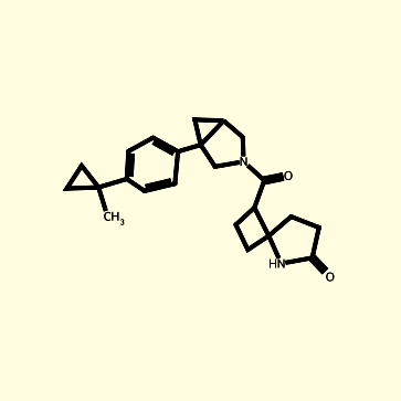 CC1(c2ccc(C34CC3CN(C(=O)C3CCC35CCC(=O)N5)C4)cc2)CC1